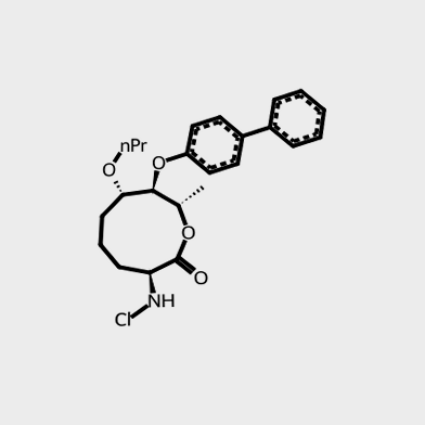 CCCO[C@H]1CCC[C@H](NCl)C(=O)O[C@@H](C)[C@@H]1Oc1ccc(-c2ccccc2)cc1